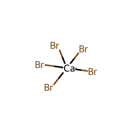 [Br][Ca]([Br])([Br])([Br])[Br]